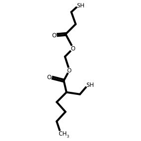 CCCCC(CS)C(=O)OCOC(=O)CCS